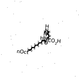 CCCCCCCCC=CCCCCCCCC(=O)NC(Cc1c[nH]cn1)C(=O)O